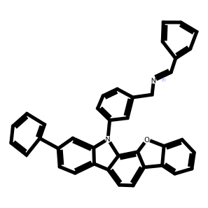 C(=N\Cc1cccc(-n2c3cc(-c4ccccc4)ccc3c3ccc4c5ccccc5oc4c32)c1)/c1ccccc1